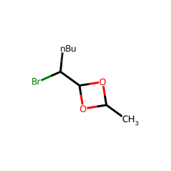 CCCCC(Br)C1OC(C)O1